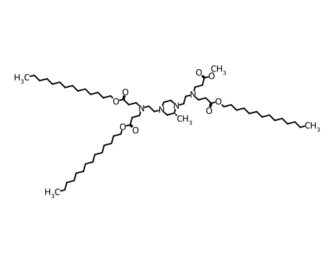 CCCCCCCCCCCCCCOC(=O)CCN(CCC(=O)OCCCCCCCCCCCCCC)CCN1CCN(CCN(CCC(=O)OC)CCC(=O)OCCCCCCCCCCCCCC)[C@@H](C)C1